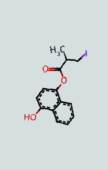 CC(CI)C(=O)Oc1ccc(O)c2ccccc12